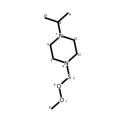 COOSN1CCN(C(C)C)CC1